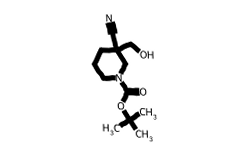 CC(C)(C)OC(=O)N1CCCC(C#N)(CO)C1